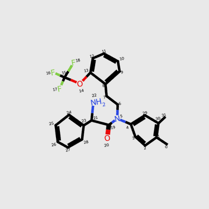 Cc1ccc(N(CCc2ccccc2OC(F)(F)F)C(=O)C(N)c2ccccc2)cc1C